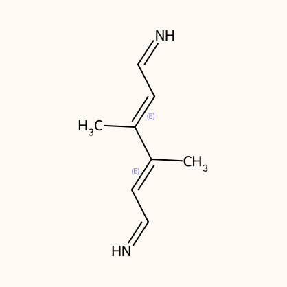 CC(=C\C=N)/C(C)=C/C=N